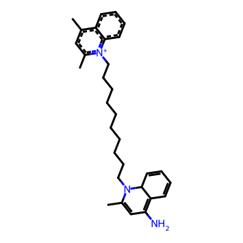 CC1=CC(N)=C2C=CC=CC2N1CCCCCCCCCC[n+]1c(C)cc(C)c2ccccc21